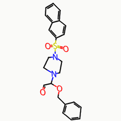 O=CC(OCc1ccccc1)N1CCN(S(=O)(=O)c2ccc3ccccc3c2)CC1